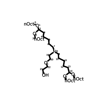 CCCCCCCCOC(CCCCCN(CCCCCC(OCCCCCCCC)OCCCCCCCC)CCOCCO)OCCCCCCCC